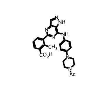 CC(=O)N1CCN(c2ccc(Nc3nc(-c4cccc(C(=O)O)c4C)nc4cn[nH]c34)cc2)CC1